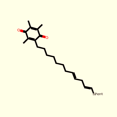 CCCCC/C=C/C/C=C/CCCCCCCC1=C(C)C(=O)C(C)=C(C)C1=O